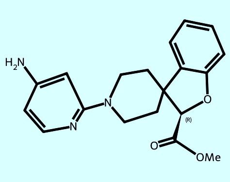 COC(=O)[C@@H]1Oc2ccccc2C12CCN(c1cc(N)ccn1)CC2